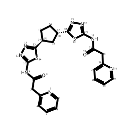 O=C(Cc1ccccn1)Nc1nnc([C@H]2CC[C@H](c3nnc(NC(=O)Cc4ccccn4)s3)C2)s1